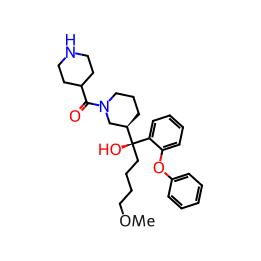 COCCCC[C@@](O)(c1ccccc1Oc1ccccc1)[C@@H]1CCCN(C(=O)C2CCNCC2)C1